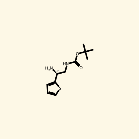 CC(C)(C)OC(=O)NC[C@H](N)c1cccs1